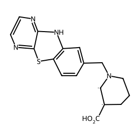 O=C(O)[C]1[CH]N(Cc2ccc3c(c2)Nc2nccnc2S3)CCC1